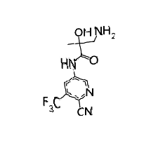 CC(O)(CN)C(=O)Nc1cnc(C#N)c(C(F)(F)F)c1